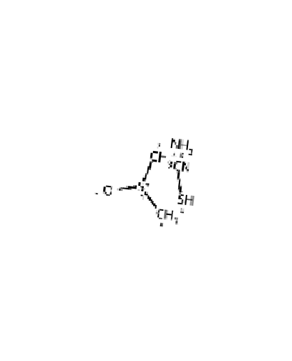 C[S+](C)[O-].N.N#CS